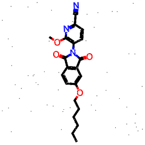 CCCCCCOc1ccc2c(c1)C(=O)N(c1ccc(C#N)nc1OC)C2=O